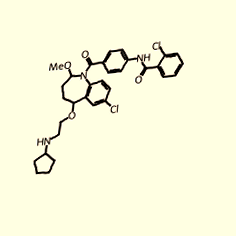 COC1CCC(OCCNC2CCCC2)c2cc(Cl)ccc2N1C(=O)c1ccc(NC(=O)c2ccccc2Cl)cc1